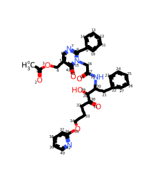 CC(=O)OCc1cnc(-c2ccccc2)n(CC(=O)NC(Cc2ccccc2)C(O)C(=O)CCCOc2ccccn2)c1=O